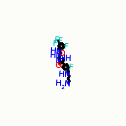 NCCCNCc1ccc(-c2c[nH]c(NC(=O)Nc3cc(F)cc(C(F)(F)F)c3)nc2=O)cc1F